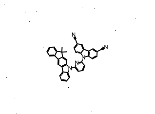 CC1(C)c2ccccc2-c2cc3c4ccccc4n(-c4cccc(-n5c6ccc(C#N)cc6c6cc(C#N)ccc65)n4)c3cc21